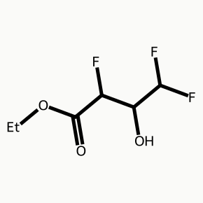 CCOC(=O)C(F)C(O)C(F)F